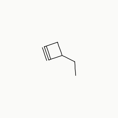 CCC1C#CC1